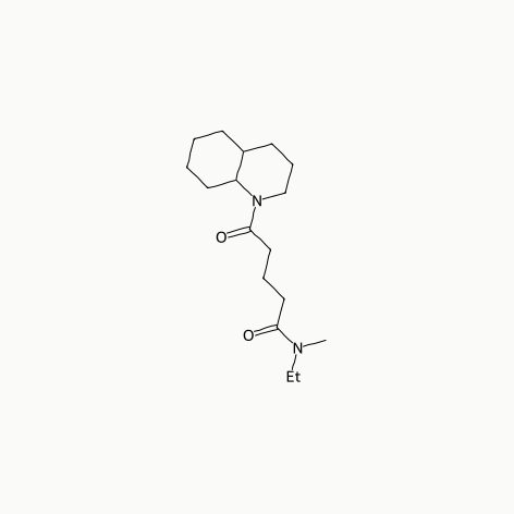 CCN(C)C(=O)CCCC(=O)N1CCCC2CCCCC21